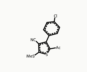 CSc1sc(C(C)=O)c(-c2ccc(Cl)cc2)c1C#N